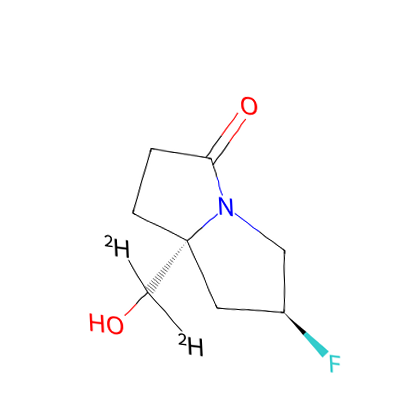 [2H]C([2H])(O)[C@]12CCC(=O)N1C[C@@H](F)C2